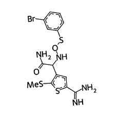 CSc1sc(C(=N)N)cc1C(NOSc1cccc(Br)c1)C(N)=O